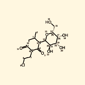 CC(C)N(C(=O)N(CCCl)N=O)C1O[C@H](CO)[C@H](O)[C@H](O)[C@H]1O